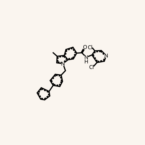 Cc1cn(Cc2ccc(-c3ccccc3)cc2)c2cc(C(=O)Nc3c(Cl)cncc3Cl)ccc12